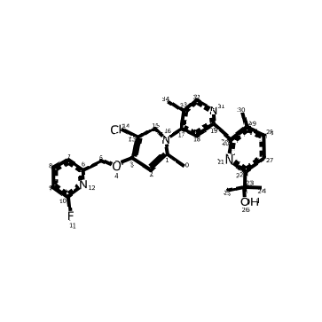 CC1=CC(OCc2cccc(F)n2)=C(Cl)CN1c1cc(-c2nc(C(C)(C)O)ccc2C)ncc1C